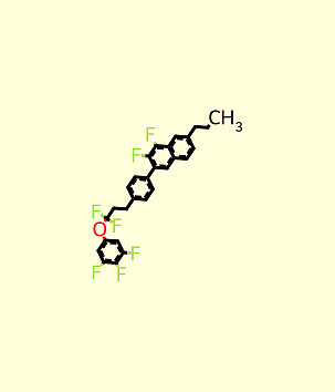 CCCc1ccc2cc(-c3ccc(CCC(F)(F)Oc4cc(F)c(F)c(F)c4)cc3)c(F)c(F)c2c1